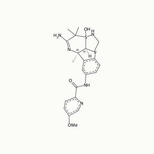 COc1ccc(C(=O)Nc2ccc(F)c([C@@]3(C)N=C(N)C(C)(C)S4(O)NCC[C@@H]34)c2)nc1